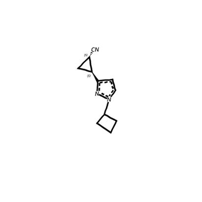 N#C[C@H]1C[C@@H]1c1ccn(C2CCC2)n1